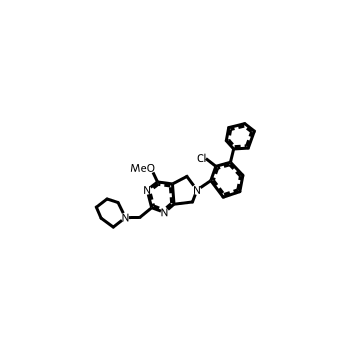 COc1nc(CN2CCCCC2)nc2c1CN(c1cccc(-c3ccccc3)c1Cl)C2